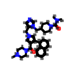 CN1CCN(C(=O)c2cn(Cc3cncn3CC3CCN(C(=O)N(C)C)CC3)cc2-c2cccc3ccccc23)CC1